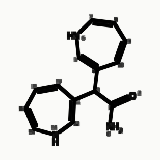 NC(=O)C(C1=CNC=CC=C1)C1=CNC=CC=C1